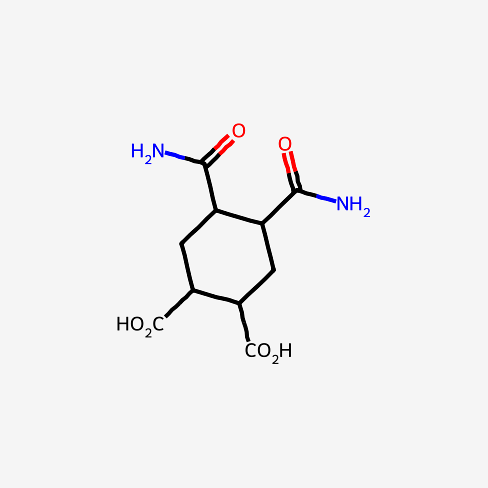 NC(=O)C1CC(C(=O)O)C(C(=O)O)CC1C(N)=O